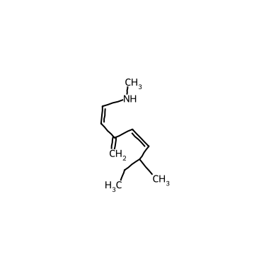 C=C(/C=C\NC)/C=C\C(C)CC